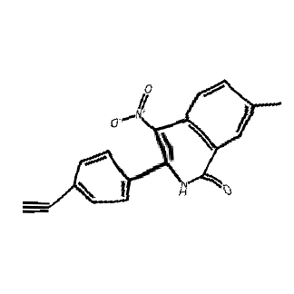 C#Cc1ccc(-c2[nH]c(=O)c3cc(C)ccc3c2[N+](=O)[O-])cc1